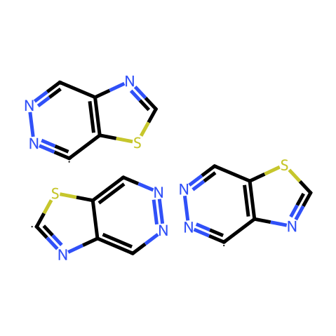 [c]1nc2cnncc2s1.[c]1nncc2ncsc12.[c]1nncc2scnc12